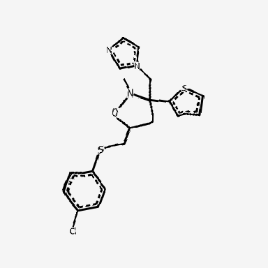 CN1OC(CSc2ccc(Cl)cc2)CC1(Cn1ccnc1)c1cccs1